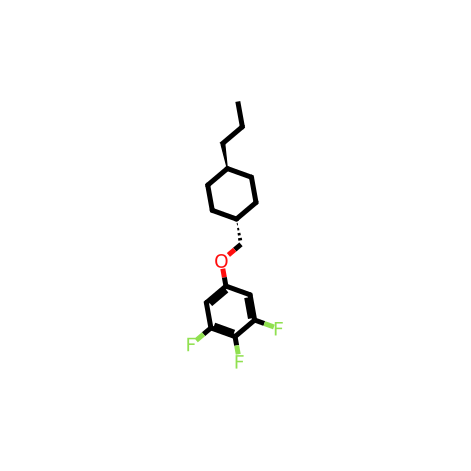 CCC[C@H]1CC[C@H](COc2cc(F)c(F)c(F)c2)CC1